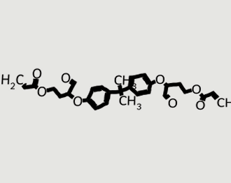 C=CC(=O)OCCC(C=O)Oc1ccc(C(C)(C)c2ccc(OC(C=O)CCOC(=O)C=C)cc2)cc1